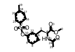 COC(=O)[C@H](Cc1cccc(OS(=O)(=O)c2ccc(C)cc2)c1)NC(C)=O